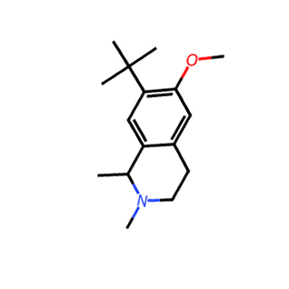 COc1cc2c(cc1C(C)(C)C)C(C)N(C)CC2